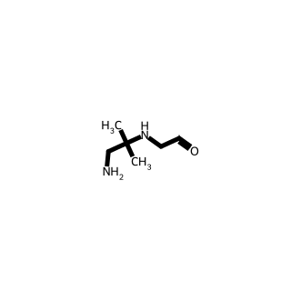 CC(C)(CN)NC[C]=O